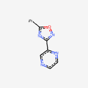 CC(C)c1nc(-c2cnccn2)no1